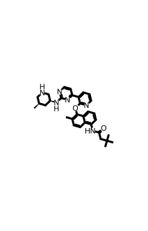 Cc1ccc2c(NC(=O)CC(C)(C)C)cccc2c1Oc1ncccc1-c1ccnc(N[C@@H]2CNC[C@H](C)C2)n1